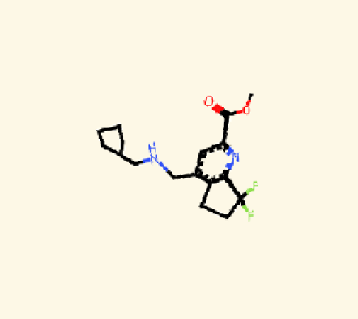 COC(=O)c1cc(CNCC2CCC2)c2c(n1)C(F)(F)CC2